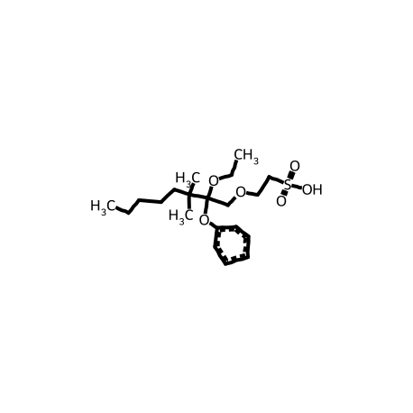 CCCCCC(C)(C)C(COCCS(=O)(=O)O)(OCC)Oc1ccccc1